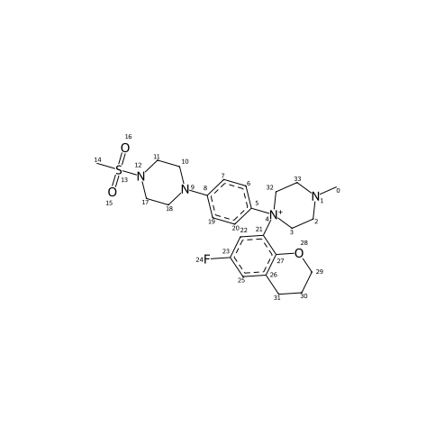 CN1CC[N+](c2ccc(N3CCN(S(C)(=O)=O)CC3)cc2)(c2cc(F)cc3c2OCCC3)CC1